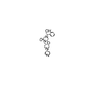 O=C1CN(C(CO)c2ccccc2)CC2OC3(CCN(c4ccncc4)CC3)CN12